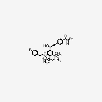 CCNC(=O)c1ccc(C#CC(O)c2cc(NCCc3ccc(F)cc3)c3c(c2)C(C)(C)CCC3(C)C)cc1